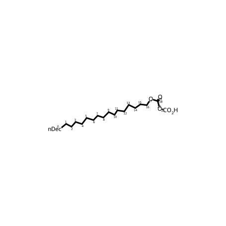 CCCCCCCCCCCCCCCCCCCCCCCCCCOC(=O)OC(=O)O